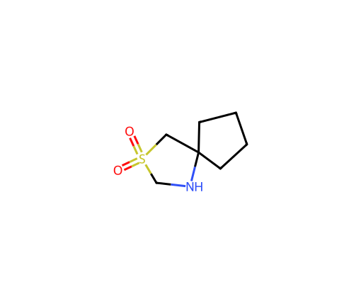 O=S1(=O)CNC2(CCCC2)C1